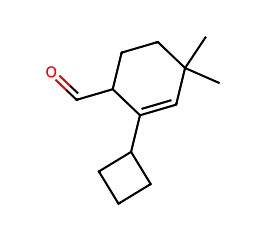 CC1(C)C=C(C2CCC2)C(C=O)CC1